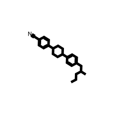 CCCC(C)Cc1ccc(C2CCC(c3ccc(C#N)cc3)CC2)cc1